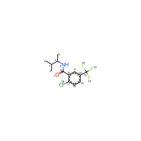 CC(C)C(C)NC(=O)c1cc(C(F)(F)F)ccc1Cl